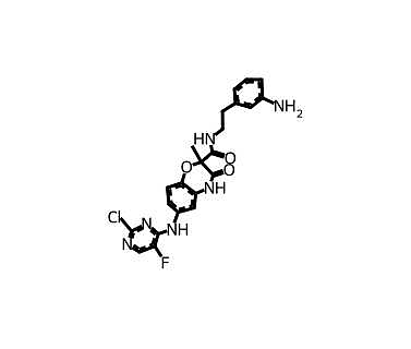 CC1(C(=O)NCCc2cccc(N)c2)Oc2ccc(Nc3nc(Cl)ncc3F)cc2NC1=O